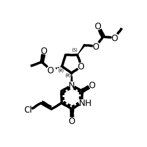 COC(=O)OC[C@@H]1C[C@@H](OC(C)=O)[C@H](n2cc(C=CCl)c(=O)[nH]c2=O)O1